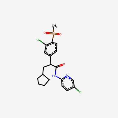 CS(=O)(=O)c1ccc(C(CC2CCCC2)C(=O)Nc2ccc(Cl)cn2)cc1Cl